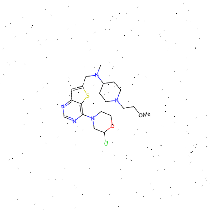 COCCN1CCC(N(C)Cc2cc3ncnc(N4CCOC(Cl)C4)c3s2)CC1